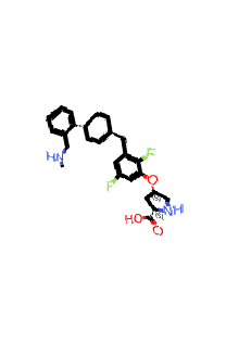 CNCc1ccccc1[C@H]1CC[C@H](Cc2cc(F)cc(O[C@@H]3CN[C@H](C(=O)O)C3)c2F)CC1